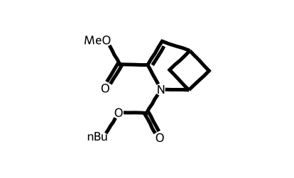 CCCCOC(=O)N1C(C(=O)OC)=CC2CC1C2